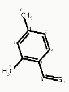 Cc1ccc([C]=S)c(C)c1